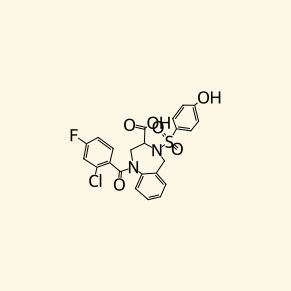 O=C(O)C1CN(C(=O)c2ccc(F)cc2Cl)c2ccccc2CN1S(=O)(=O)c1ccc(O)cc1